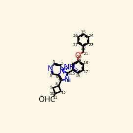 N[N+]12C=CN=CC1=C(C1CC(C=O)C1)N=C2c1cccc(OCc2ccccc2)c1